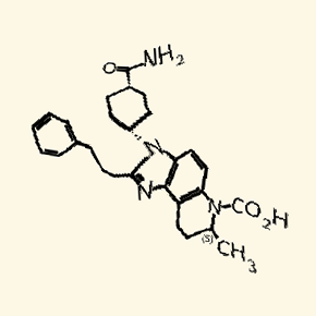 C[C@H]1CCc2c(ccc3c2nc(CCc2ccccc2)n3[C@H]2CC[C@H](C(N)=O)CC2)N1C(=O)O